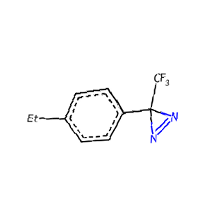 CCc1ccc(C2(C(F)(F)F)N=N2)cc1